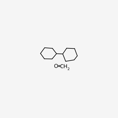 C1CCC(C2CCCCC2)CC1.C=O